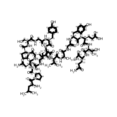 CC(C)C[C@H](N)C(=O)N1CCC[C@H]1C(=O)N[C@@H](CC(N)=O)C(=O)N[C@@H](CCC(N)=O)C(=O)N1CCC[C@H]1C(=O)N[C@@H](CO)C(=O)NCC(=O)N[C@@H](Cc1ccc(O)cc1)C(=O)N[C@@H](CCCNC(=N)N)C(=O)N[C@H](C(=O)N[C@@H](C)C(=O)NCC(=O)N[C@@H](Cc1ccc(O)cc1)C(=O)N[C@@H](CCC(=O)O)C(=O)N[C@H](C(=O)N[C@@H](CCC(N)=O)C(=O)O)[C@@H](C)O)C(C)C